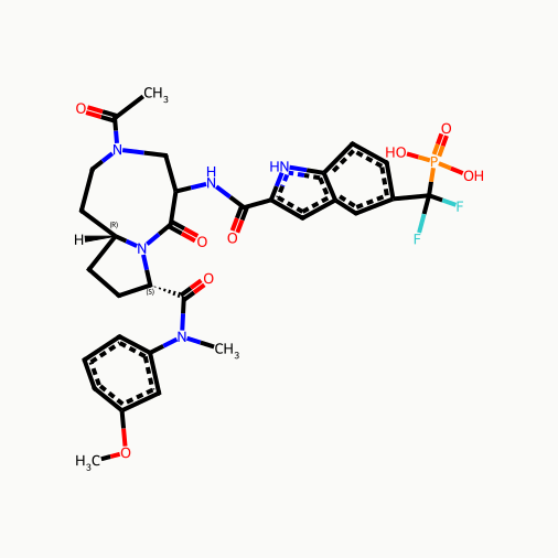 COc1cccc(N(C)C(=O)[C@@H]2CC[C@@H]3CCN(C(C)=O)CC(NC(=O)c4cc5cc(C(F)(F)P(=O)(O)O)ccc5[nH]4)C(=O)N32)c1